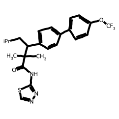 CC(C)CC(c1ccc(-c2ccc(OC(F)(F)F)cc2)cc1)C(C)(C)C(=O)Nc1nncs1